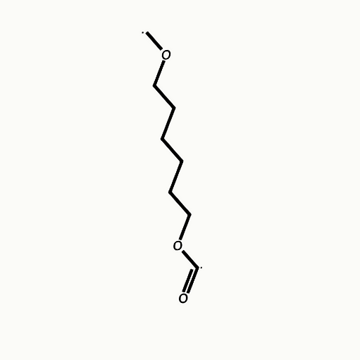 [CH2]OCCCCCCO[C]=O